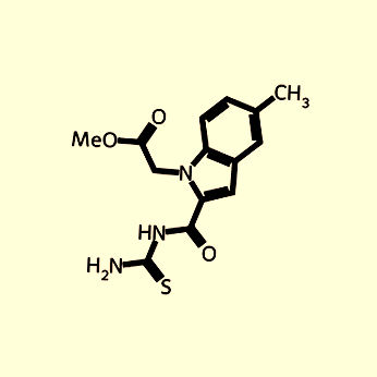 COC(=O)Cn1c(C(=O)NC(N)=S)cc2cc(C)ccc21